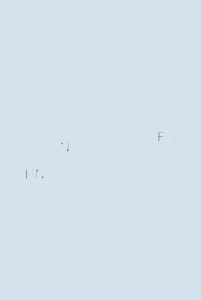 N=NCCF